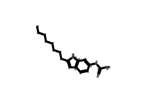 CCCCCCCCc1cc2ccc(OC(=O)O)cc2[nH]1